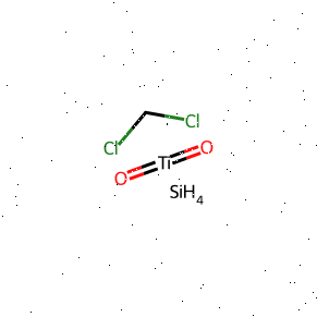 ClCCl.[O]=[Ti]=[O].[SiH4]